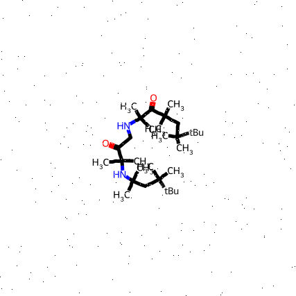 CC(C)(CC(C)(C)C(C)(C)C)NC(C)(C)C(=O)CNC(C)(C)C(=O)C(C)(C)CC(C)(C)C(C)(C)C